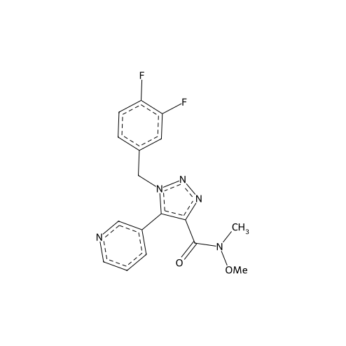 CON(C)C(=O)c1nnn(Cc2ccc(F)c(F)c2)c1-c1cccnc1